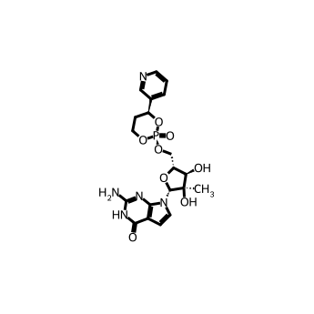 C[C@@]1(O)[C@H](O)[C@@H](CO[P@@]2(=O)OCC[C@@H](c3cccnc3)O2)O[C@H]1n1ccc2c(=O)[nH]c(N)nc21